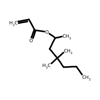 C=CC(=O)OC(C)CC(C)(C)CCC